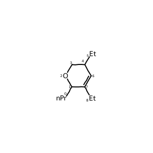 CCCC1OCC(CC)C=C1CC